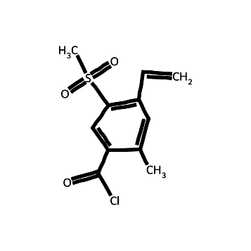 C=Cc1cc(C)c(C(=O)Cl)cc1S(C)(=O)=O